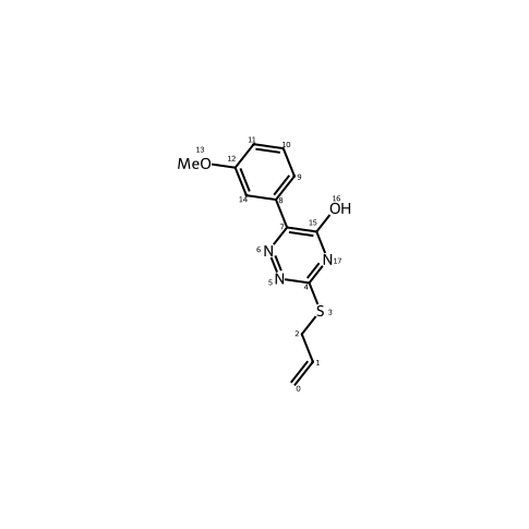 C=CCSc1nnc(-c2cccc(OC)c2)c(O)n1